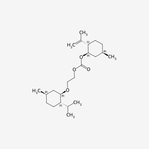 C=C(C)[C@@H]1CC[C@@H](C)C[C@H]1OC(=O)OCCO[C@@H]1C[C@H](C)CC[C@H]1C(C)C